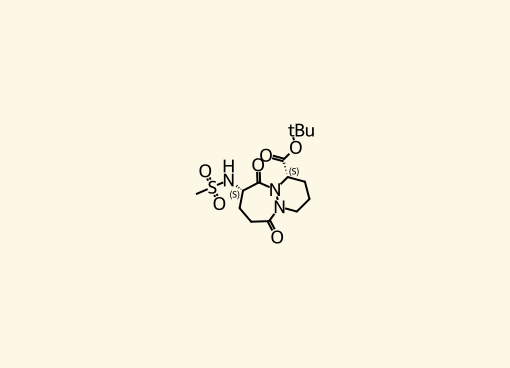 CC(C)(C)OC(=O)[C@@H]1CCCN2C(=O)CC[C@H](NS(C)(=O)=O)C(=O)N12